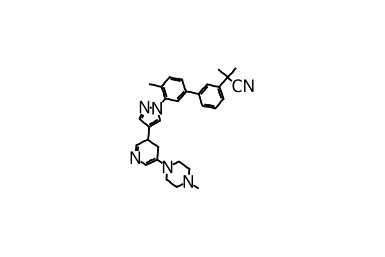 Cc1ccc(-c2cccc(C(C)(C)C#N)c2)cc1-n1cc(C2C=NC=C(N3CCN(C)CC3)C2)cn1